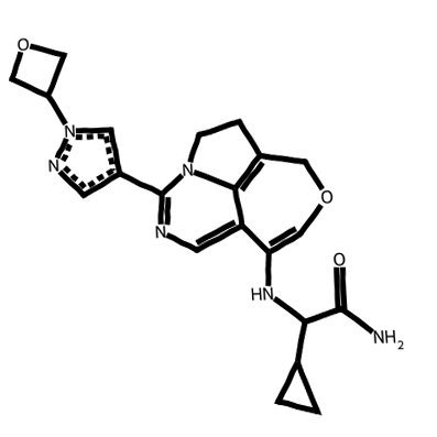 NC(=O)C(NC1=COCC2=C3C1=CN=C(c1cnn(C4COC4)c1)N3CC2)C1CC1